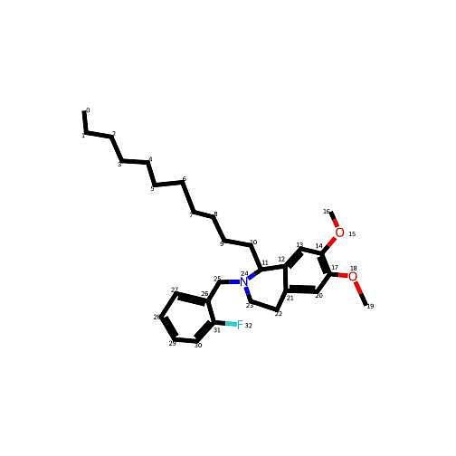 CCCCCCCCCCCC1c2cc(OC)c(OC)cc2CCN1Cc1ccccc1F